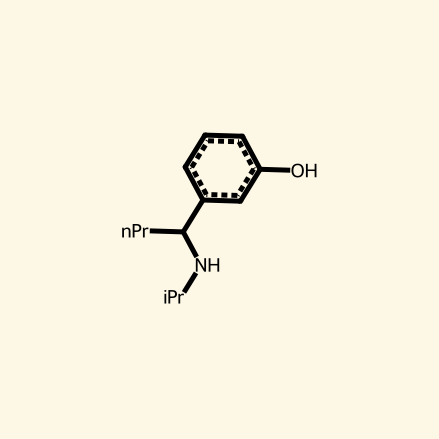 CCCC(NC(C)C)c1cccc(O)c1